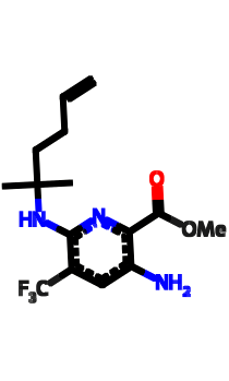 C=CCCC(C)(C)Nc1nc(C(=O)OC)c(N)cc1C(F)(F)F